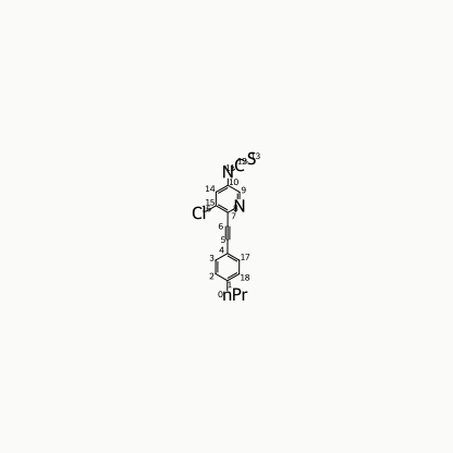 CCCc1ccc(C#Cc2ncc(N=C=S)cc2Cl)cc1